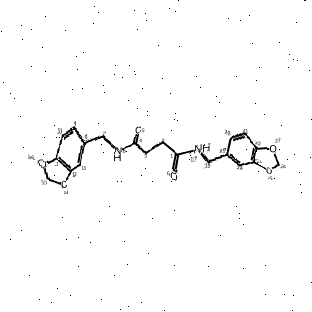 O=C(CCC(=O)NCc1ccc2c(c1)OCO2)NCc1ccc2c(c1)OCO2